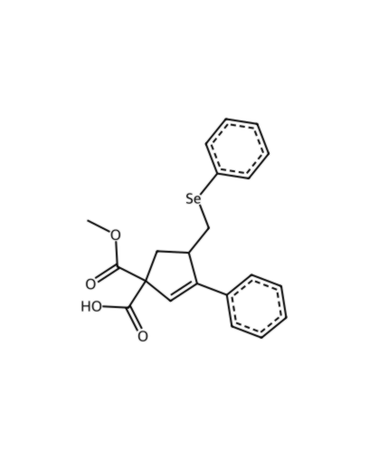 COC(=O)C1(C(=O)O)C=C(c2ccccc2)C(C[Se]c2ccccc2)C1